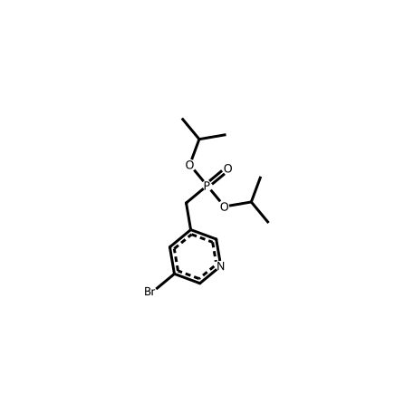 CC(C)OP(=O)(Cc1cncc(Br)c1)OC(C)C